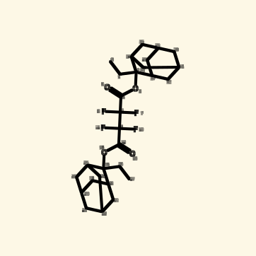 CCC1(OC(=O)C(F)(F)C(F)(F)C(=O)OC2(CC)C3CC4CC(C3)CC2C4)C2CC3CC(C2)CC1C3